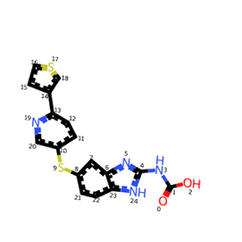 O=C(O)Nc1nc2cc(Sc3ccc(-c4ccsc4)nc3)ccc2[nH]1